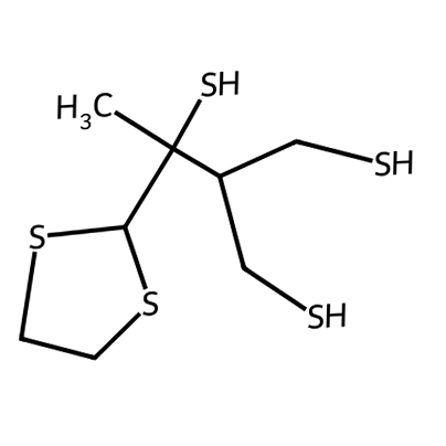 CC(S)(C(CS)CS)C1SCCS1